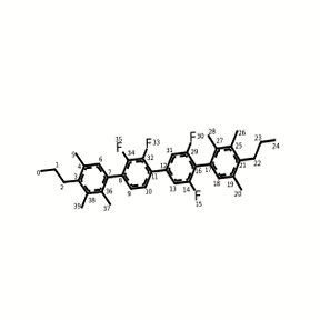 CCCc1c(C)cc(-c2ccc(-c3cc(F)c(-c4cc(C)c(CCC)c(C)c4C)c(F)c3)c(F)c2F)c(C)c1C